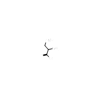 CCC(=O)C(N)COC